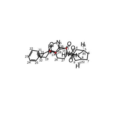 O=C(N[C@H]1C[C@H]2CC[C@@H](C1)N2S(=O)(=O)N1CCC(NCc2ccccc2)CC1)c1cc(C2CC2)on1